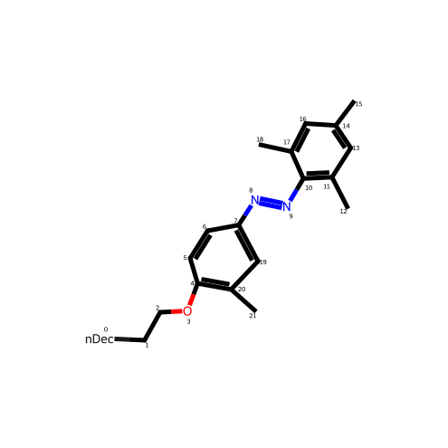 CCCCCCCCCCCCOc1ccc(N=Nc2c(C)cc(C)cc2C)cc1C